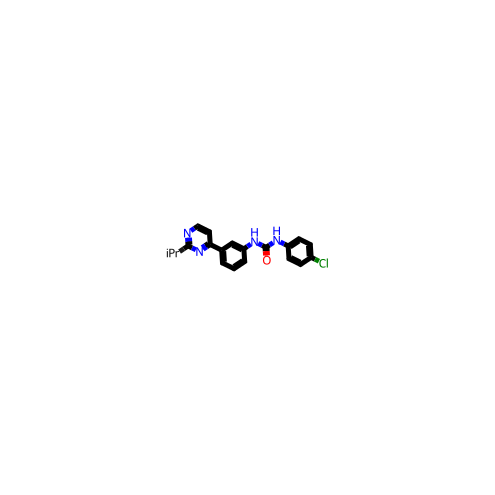 CC(C)c1nccc(-c2cccc(NC(=O)Nc3ccc(Cl)cc3)c2)n1